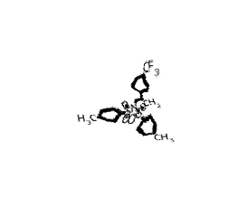 C=C(CN(S(=O)(=O)c1ccc(C)cc1)S(=O)(=O)c1ccc(C)cc1)c1ccc(C(F)(F)F)cc1